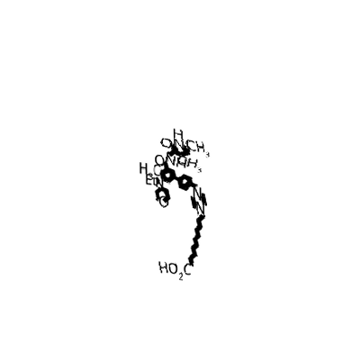 CCN(c1cc(-c2ccc(CN3CCN(CCCCCCCCCCCC(=O)O)CC3)cc2)cc(C(=O)NCc2c(C)cc(C)[nH]c2=O)c1C)C1CCOCC1